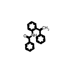 C=C(c1ccccc1)c1ccccc1NC(=O)c1ccccc1